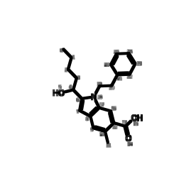 CCCCC(O)c1cc2cc(C)c(C(=O)O)cc2n1CCc1ccccc1